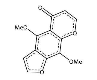 COc1c2occc2c(OC)c2c(=O)ccoc12